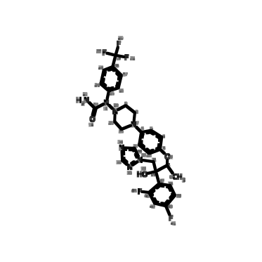 CC(Oc1ccc(N2CCN(N(C(N)=O)c3ccc(C(F)(F)F)cc3)CC2)cc1)C(O)(Cn1cncn1)c1ccc(F)cc1F